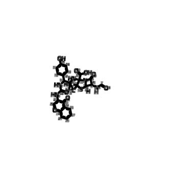 CC1(C)S[C@@H]2[C@H](NC=O)C(=O)N2[C@@]1(NC(=O)C(NC(=O)Nc1coc2ccccc2c1=O)c1ccc(O)cc1)C(=O)O